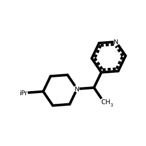 CC(C)C1CCN(C(C)c2ccncc2)CC1